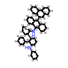 c1ccc(Nc2cccc(-c3ccccc3Nc3c4ccccc4c(-c4cc5ccccc5c5ccccc45)c4ccccc34)c2-c2ccccc2)cc1